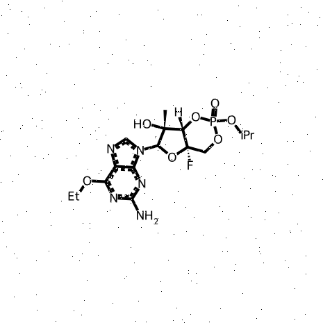 CCOc1nc(N)nc2c1ncn2C1O[C@]2(F)COP(=O)(OC(C)C)O[C@H]2[C@@]1(C)O